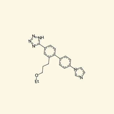 CCOCCCc1cc(-c2nnn[nH]2)ccc1-c1ccc(-n2ccnc2)cc1